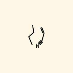 C=CC#N.CCCC